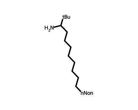 CCCCCCCCCCCCCCCCCC(N)C(C)(C)C